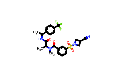 CC(NC(=O)C(C)N(C)C(=O)c1cccc(S(=O)(=O)N2CC(C#N)C2)c1)c1ccc(C(F)(F)F)cc1